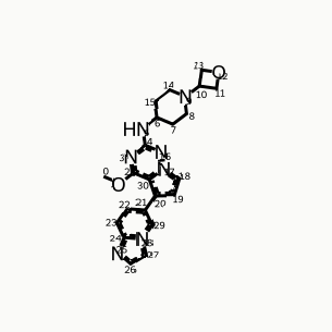 COc1nc(NC2CCN(C3COC3)CC2)nn2ccc(-c3ccc4nccn4c3)c12